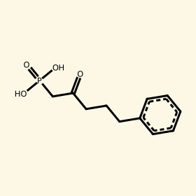 O=C(CCCc1ccccc1)CP(=O)(O)O